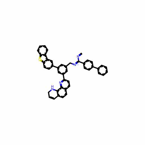 C=N/C(=N\Cc1cc(-c2ccc3sc4ccccc4c3c2)cc(-c2ccc3ccc4c(c3n2)NCC=C4)c1)c1ccc(-c2ccccc2)cc1